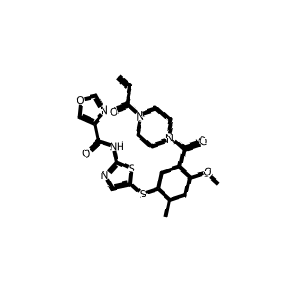 C=CC(=O)N1CCN(C(=O)C2CC(Sc3cnc(NC(=O)c4cocn4)s3)C(C)CC2OC)CC1